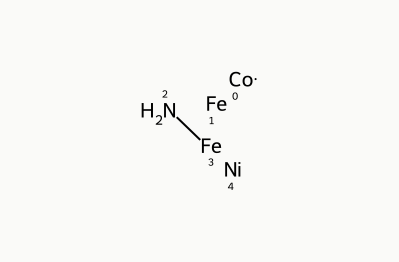 [Co].[Fe].[NH2][Fe].[Ni]